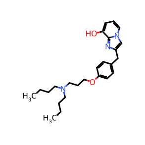 CCCCN(CCCC)CCCOc1ccc(Cc2cn3cccc(O)c3n2)cc1